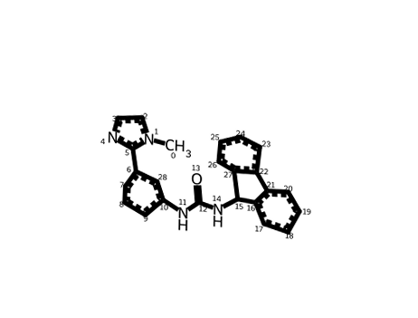 Cn1ccnc1-c1cccc(NC(=O)NC2c3ccccc3-c3ccccc32)c1